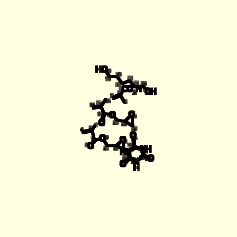 C=C(C)C(=O)O.C=C(C)C(=O)OCC1CO1.C=C(C)C(=O)OCC1CO1.O=c1[nH]c(=O)[nH]c(=O)[nH]1.OCCCCCCO